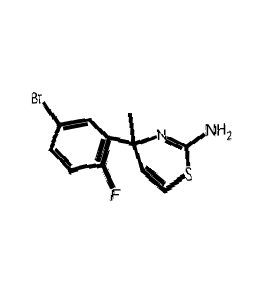 CC1(c2cc(Br)ccc2F)C=CSC(N)=N1